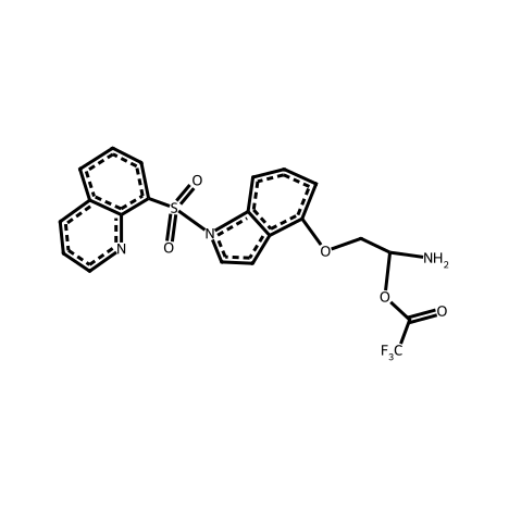 NC(COc1cccc2c1ccn2S(=O)(=O)c1cccc2cccnc12)OC(=O)C(F)(F)F